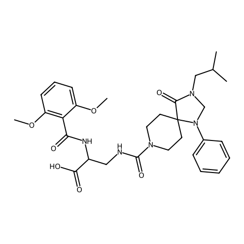 COc1cccc(OC)c1C(=O)NC(CNC(=O)N1CCC2(CC1)C(=O)N(CC(C)C)CN2c1ccccc1)C(=O)O